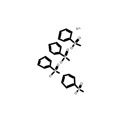 CP(=O)([O-])c1ccccc1.CP(=O)([O-])c1ccccc1.CP(=O)([O-])c1ccccc1.CP(=O)([O-])c1ccccc1.[Ti+4]